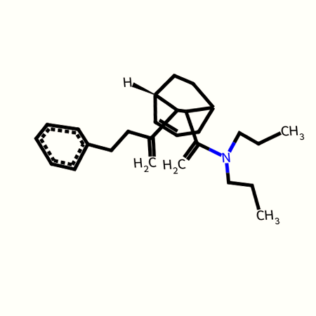 C=C(CCc1ccccc1)C1C(C(=C)N(CCC)CCC)C2CC=C[C@@H]1CC2